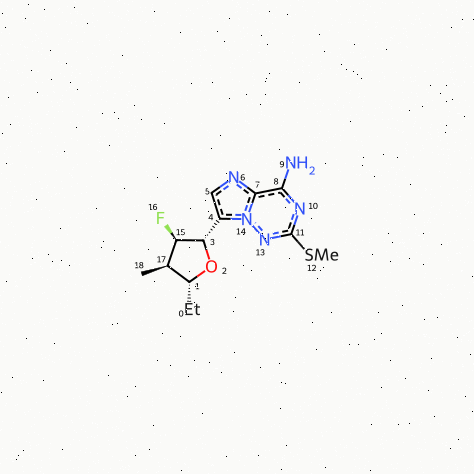 CC[C@H]1O[C@@H](c2cnc3c(N)nc(SC)nn23)[C@H](F)[C@@H]1C